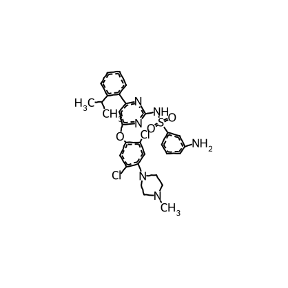 CC(C)c1ccccc1-c1cc(Oc2cc(Cl)c(N3CCN(C)CC3)cc2Cl)nc(NS(=O)(=O)c2cccc(N)c2)n1